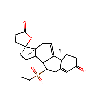 CCS(=O)(=O)[C@@H]1CC2=CC(=O)CC[C@]2(C)C2=CC[C@@]3(C)C(CC[C@@]34CCC(=O)O4)C21